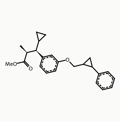 COC(=O)[C@@H](C)[C@H](c1cccc(OCC2CC2c2ccccc2)c1)C1CC1